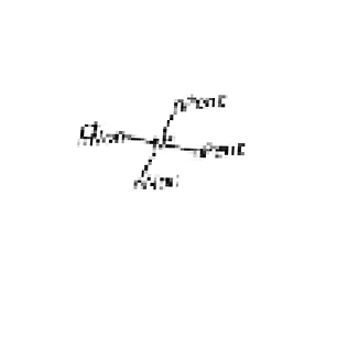 CCCCCCCCC[N+](CCCCC)(CCCCC)CCCCCCCCC.[Cl-]